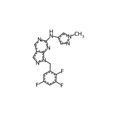 Cn1cc(Nc2ncc3cnn(Cc4cc(F)cc(F)c4F)c3n2)cn1